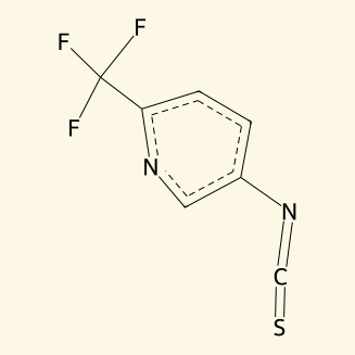 FC(F)(F)c1ccc(N=C=S)cn1